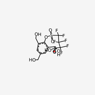 O=S(=O)(O)C(F)(F)C(F)(F)C(F)(F)S(=O)(=O)Oc1c(CO)cc(CO)cc1CO